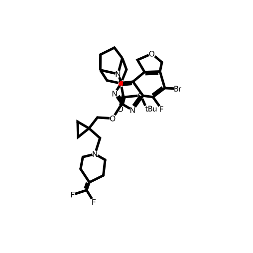 CC(C)(C)OC(=O)N1CC2CCC(C1)N2c1nc(OCC2(CN3CCC(=C(F)F)CC3)CC2)nc2c(F)c(Br)c3c(c12)COC3